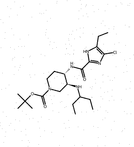 CCc1[nH]c(C(=O)N[C@H]2CCN(C(=O)OC(C)(C)C)C[C@@H]2NC(CC)CC)nc1Cl